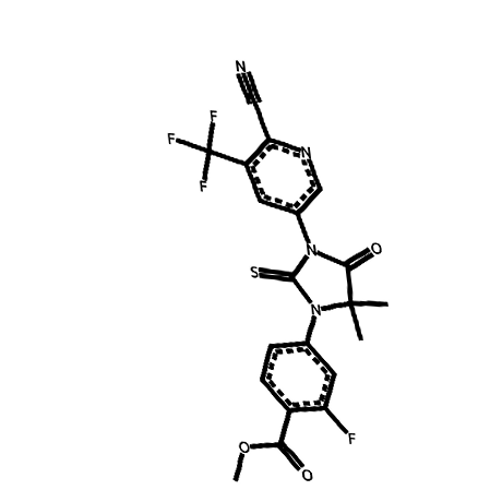 COC(=O)c1ccc(N2C(=S)N(c3cnc(C#N)c(C(F)(F)F)c3)C(=O)C2(C)C)cc1F